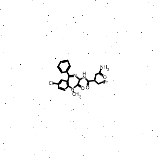 CC(C)CC(CC(N)=O)C(=O)NC1N=C(c2ccccc2)c2cc(Cl)ccc2N(C)C1=O